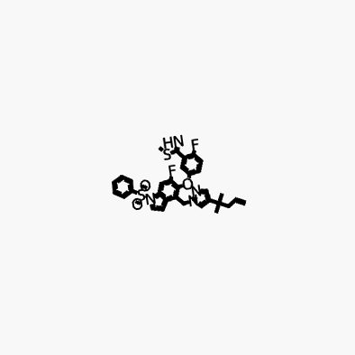 C=CCC(C)(C)c1cnn(Cc2c(Oc3ccc(F)c(C(=N)SC)c3)c(F)cc3c2ccn3S(=O)(=O)c2ccccc2)c1